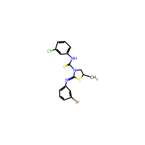 CC1CN(C(=S)Nc2cccc(Cl)c2)C(=Nc2cccc(Br)c2)S1